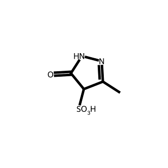 CC1=NNC(=O)C1S(=O)(=O)O